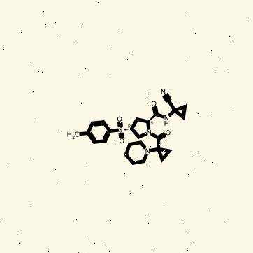 Cc1ccc(S(=O)(=O)[C@@H]2C[C@@H](C(=O)NC3(C#N)CC3)N(C(=O)C3(N4CCCCC4)CC3)C2)cc1